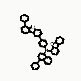 c1ccc(-c2ccc(N(c3ccc(-c4ccc5oc6c(-c7ccccc7)cccc6c5c4)cc3)c3cccc4c3oc3ccccc34)c3ccccc23)cc1